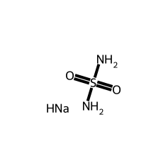 NS(N)(=O)=O.[NaH]